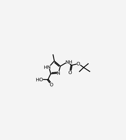 Cc1[nH]c(C(=O)O)nc1NC(=O)OC(C)(C)C